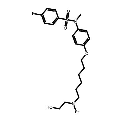 CCN(CCO)CCCCCCOc1ccc(N(C)S(=O)(=O)c2ccc(F)cc2)cc1